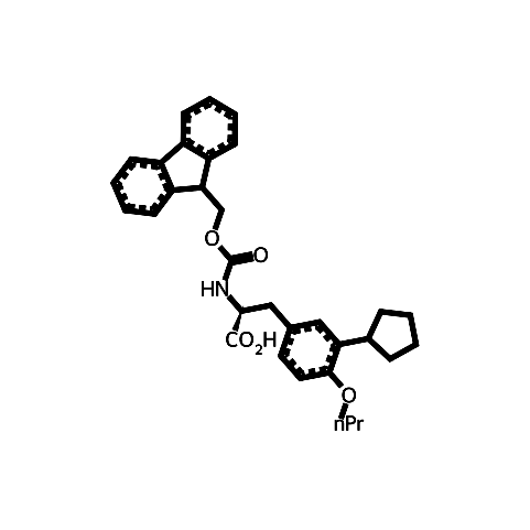 CCCOc1ccc(C[C@H](NC(=O)OCC2c3ccccc3-c3ccccc32)C(=O)O)cc1C1CCCC1